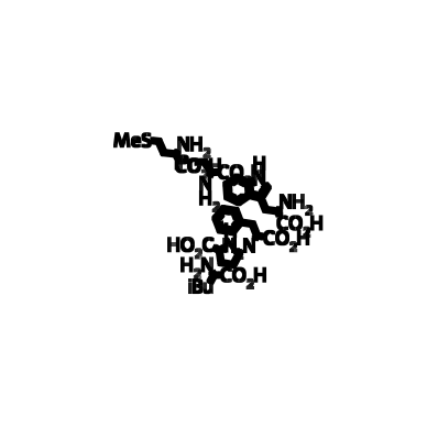 CC(C)CC(N)C(=O)O.CCC(C)C(N)C(=O)O.CSCCC(N)C(=O)O.NC(Cc1c[nH]c2ccccc12)C(=O)O.NC(Cc1ccccc1)C(=O)O.O=C(O)C1CCCN1